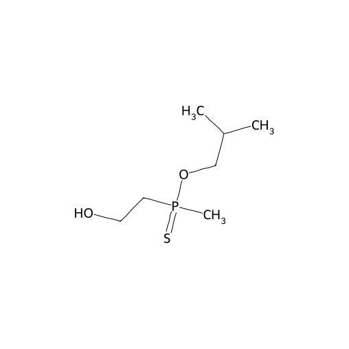 CC(C)COP(C)(=S)CCO